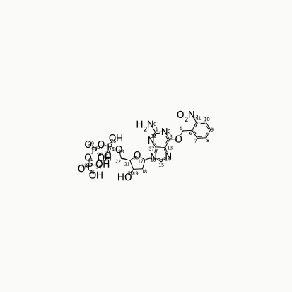 Nc1nc(OCc2ccccc2[N+](=O)[O-])c2ncn([C@H]3C[C@@H](O)[C@@H](COP(=O)(O)OP(=O)(O)OP(=O)(O)O)O3)c2n1